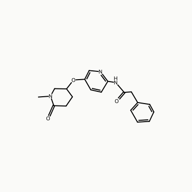 CN1CC(Oc2ccc(NC(=O)Cc3ccccc3)nc2)CCC1=O